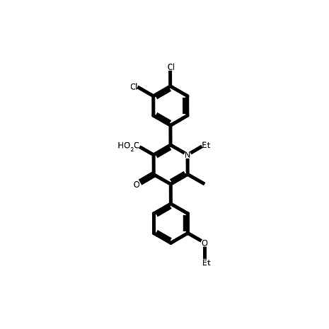 CCOc1cccc(-c2c(C)n(CC)c(-c3ccc(Cl)c(Cl)c3)c(C(=O)O)c2=O)c1